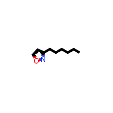 CCCCCCc1ccon1